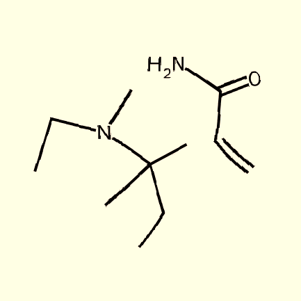 C=CC(N)=O.CCN(C)C(C)(C)CC